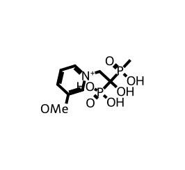 COc1ccc[n+](CC(O)(P(C)(=O)O)P(=O)(O)O)c1